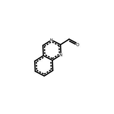 O=[C]c1ncc2ccccc2n1